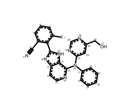 N#Cc1cccc(F)c1-c1nc2ccnc(N(c3ccccc3)c3cc(CO)ncn3)c2[nH]1